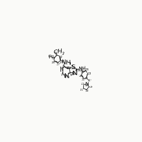 Cc1cc(Nc2ncnc3nc(Nc4ccc(CN5CCCC5)cc4)sc23)ccc1F